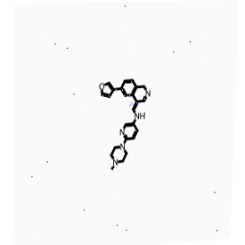 CN1CCN(c2ccc(N/C=C3\C=NCc4ccc(-c5ccoc5)cc43)cn2)CC1